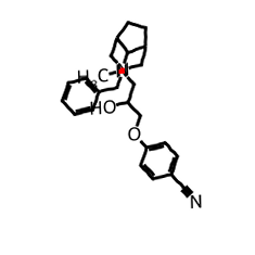 CN(CC(O)COc1ccc(C#N)cc1)C1C2CCC1CN(Cc1ccccc1)C2